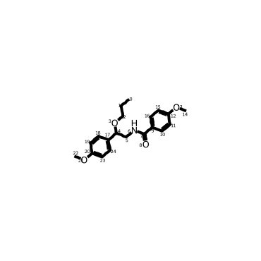 CCCOC(CNC(=O)c1ccc(OC)cc1)c1ccc(OC)cc1